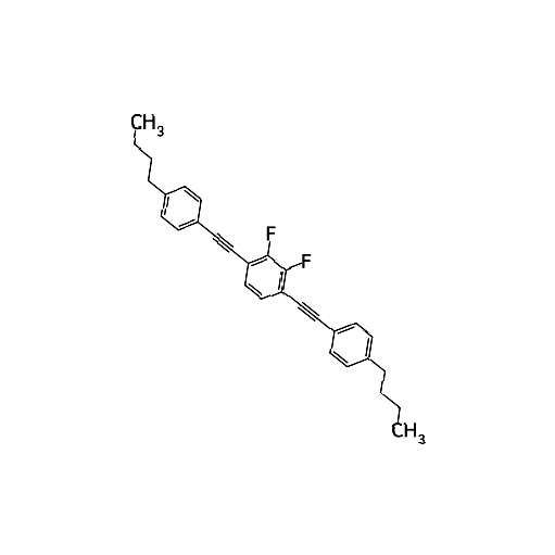 CCCCc1ccc(C#Cc2ccc(C#Cc3ccc(CCCC)cc3)c(F)c2F)cc1